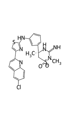 CN1C(=N)N[C@](C)(c2cccc(Nc3nc(-c4ccc5cc(Cl)ccc5n4)cs3)c2)CS1(=O)=O